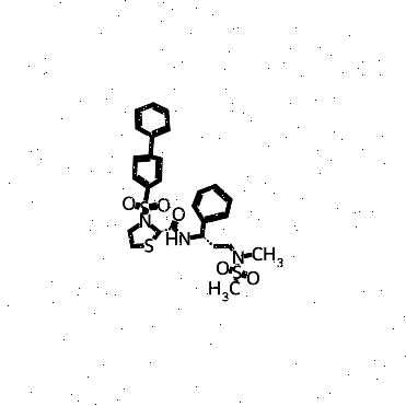 CN(CC[C@H](NC(=O)[C@@H]1SCCN1S(=O)(=O)c1ccc(-c2ccccc2)cc1)c1ccccc1)S(C)(=O)=O